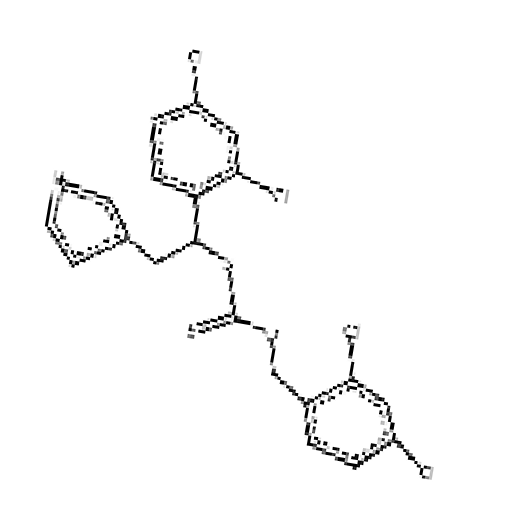 S=C(OCc1ccc(Cl)cc1Cl)SC(Cn1ccnc1)c1ccc(Cl)cc1Cl